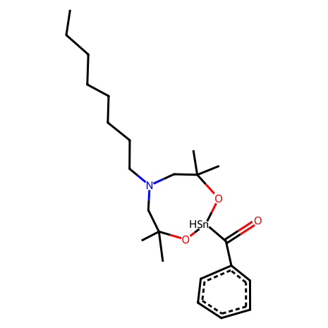 CCCCCCCCN1CC(C)(C)[O][SnH]([C](=O)c2ccccc2)[O]C(C)(C)C1